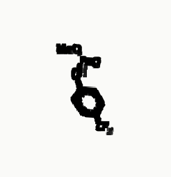 CO[PH](=O)Oc1ccc(C(F)(F)F)cc1